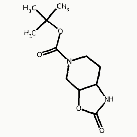 CC(C)(C)OC(=O)N1CCC2NC(=O)OC2C1